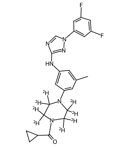 [2H]C1([2H])N(C(=O)C2CC2)C([2H])([2H])C([2H])([2H])N(c2cc(C)cc(Nc3ncn(-c4cc(F)cc(F)c4)n3)c2)C1([2H])[2H]